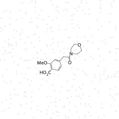 COc1cc(CC(=O)N2CCOCC2)ccc1C(=O)O